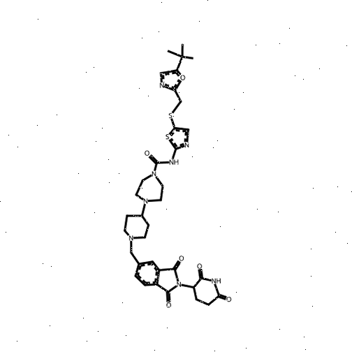 CC(C)(C)c1cnc(CSc2cnc(NC(=O)N3CCN(C4CCN(Cc5ccc6c(c5)C(=O)N(C5CCC(=O)NC5=O)C6=O)CC4)CC3)s2)o1